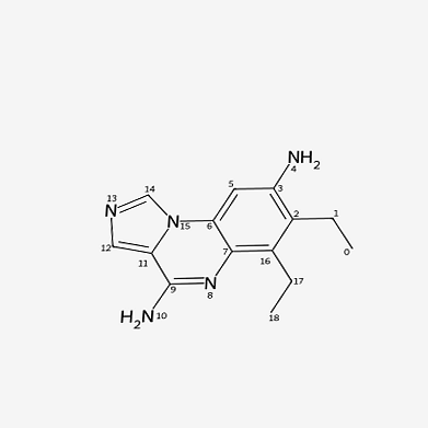 CCc1c(N)cc2c(nc(N)c3cncn32)c1CC